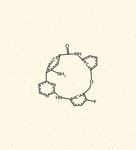 Nc1cc2ccc1-c1ccnc(n1)Nc1ccc(F)c(c1)COc1cccc(c1)NC2=O